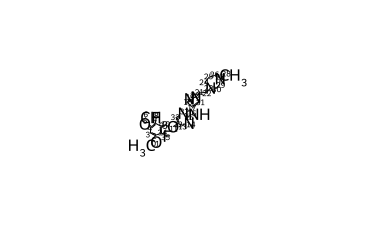 COc1cc(OC)c(F)c(COc2cnc(Nc3cnn(CCN4CCCN(C)CC4)c3)nc2)c1F